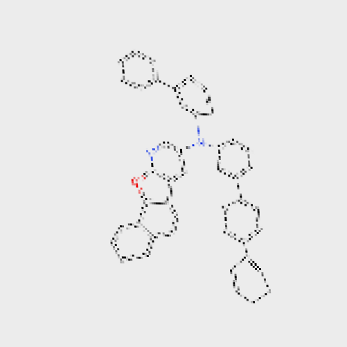 C1=CC(c2ccc(-c3cccc(N(c4cccc(-c5ccccc5)c4)c4cnc5oc6c7ccccc7ccc6c5c4)c3)cc2)=CCC1